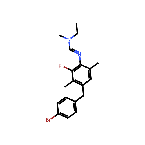 CCN(C)C=Nc1c(C)cc(Cc2ccc(Br)cc2)c(C)c1Br